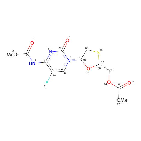 COC(=O)Nc1nc(=O)n([C@@H]2CS[C@H](COC(=O)OC)O2)cc1F